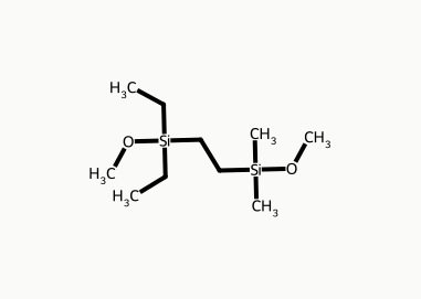 CC[Si](CC)(CC[Si](C)(C)OC)OC